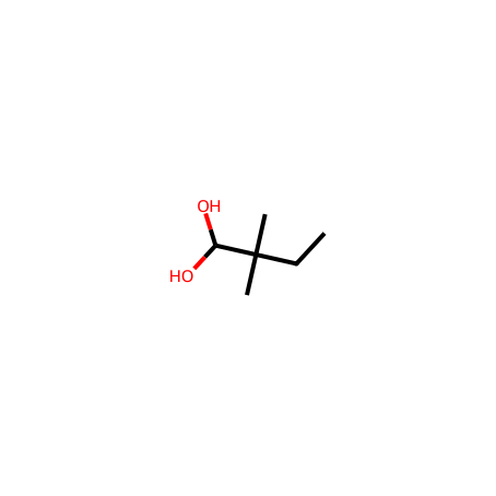 CCC(C)(C)C(O)O